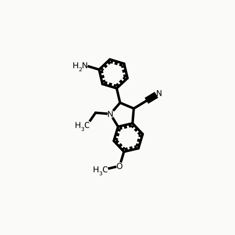 CCN1c2cc(OC)ccc2C(C#N)C1c1cccc(N)c1